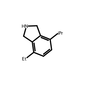 CCc1ccc(C(C)C)c2c1CNC2